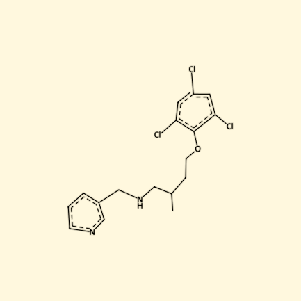 CC(CCOc1c(Cl)cc(Cl)cc1Cl)CNCc1cccnc1